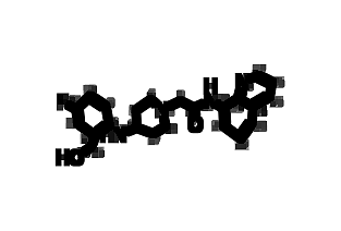 O=C(CN1CCC(Nc2ccc(F)cc2CO)CC1)Nc1cccc2cccnc12